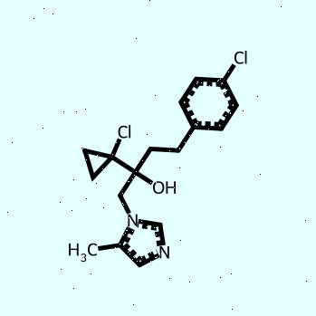 Cc1cncn1CC(O)(CCc1ccc(Cl)cc1)C1(Cl)CC1